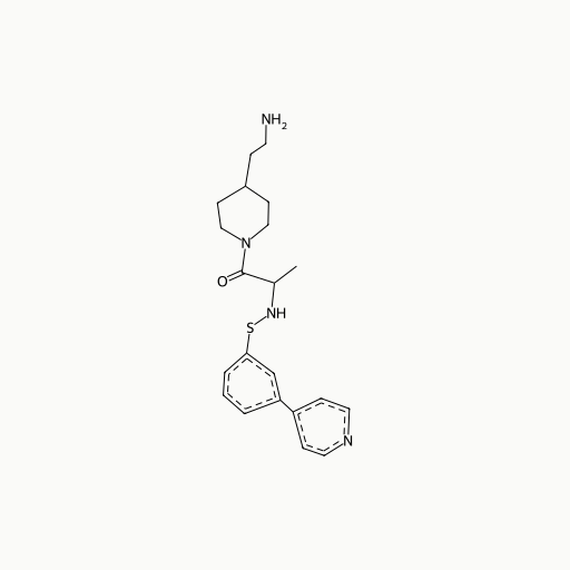 CC(NSc1cccc(-c2ccncc2)c1)C(=O)N1CCC(CCN)CC1